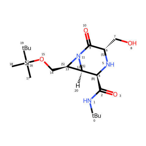 CC(C)(C)NC(=O)[C@@H]1N[C@@H](CO)C(=O)N2[C@@H]1[C@H]2CO[Si](C)(C)C(C)(C)C